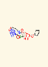 C[C@@]1(Cl)[C@H](O)[C@@H](COCOc2ccccc2)O[C@H]1n1ccc(=O)[nH]c1=O